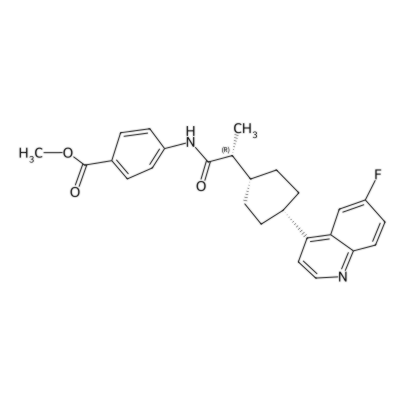 COC(=O)c1ccc(NC(=O)[C@H](C)[C@H]2CC[C@@H](c3ccnc4ccc(F)cc43)CC2)cc1